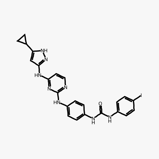 O=C(Nc1ccc(I)cc1)Nc1ccc(Nc2nccc(Nc3cc(C4CC4)[nH]n3)n2)cc1